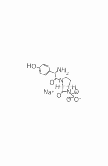 N[C@@H](C(=O)N1CC[C@@H]2[C@H]1C(=O)N2S(=O)(=O)[O-])c1ccc(O)cc1.[Na+]